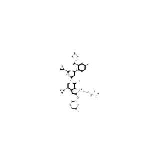 C[C@H]1CCCN(Cc2cc3c(C4CC4)cn(-c4cc(-c5ccc(F)cc5C(=O)N5CC(F)C5)nc(C5CC5)n4)c(=O)c3n2COCC[Si](C)(C)C)C1